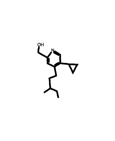 CCC(C)CCc1cc(CO)ncc1C1CC1